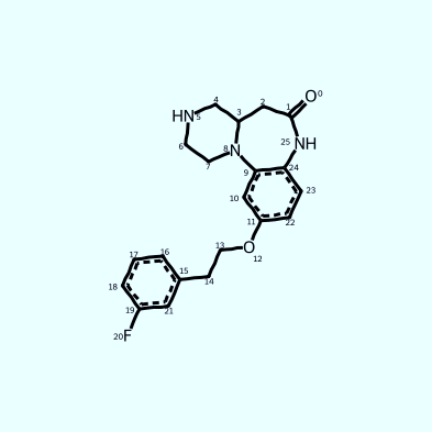 O=C1CC2CNCCN2c2cc(OCCc3cccc(F)c3)ccc2N1